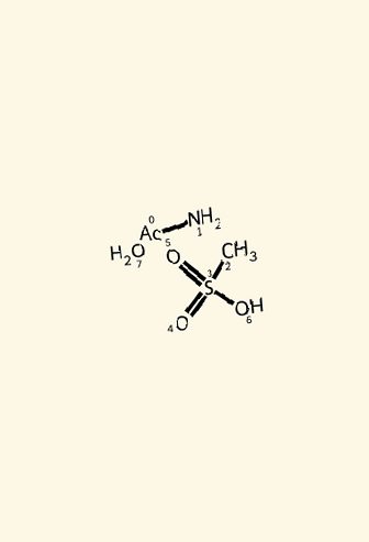 CC(N)=O.CS(=O)(=O)O.O